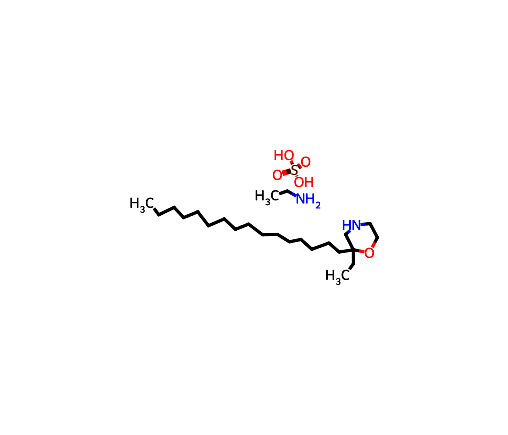 CCCCCCCCCCCCCCCCC1(CC)CNCCO1.CCN.O=S(=O)(O)O